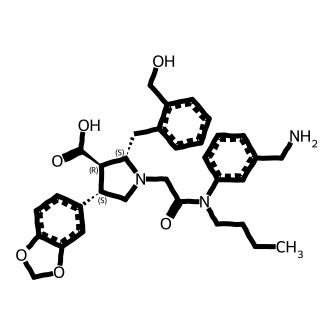 CCCCN(C(=O)CN1C[C@H](c2ccc3c(c2)OCO3)[C@@H](C(=O)O)[C@@H]1Cc1ccccc1CO)c1cccc(CN)c1